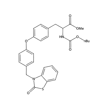 CCCCOC(=O)NC(Cc1ccc(Oc2ccc(Cn3c(=O)sc4ccccc43)cc2)cc1)C(=O)OC